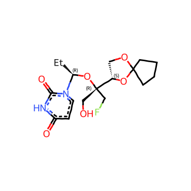 CC[C@@H](O[C@@](CO)(CF)[C@@H]1COC2(CCCC2)O1)n1ccc(=O)[nH]c1=O